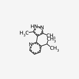 Cc1n[nH]c(C)c1-c1ncccc1C(C)C